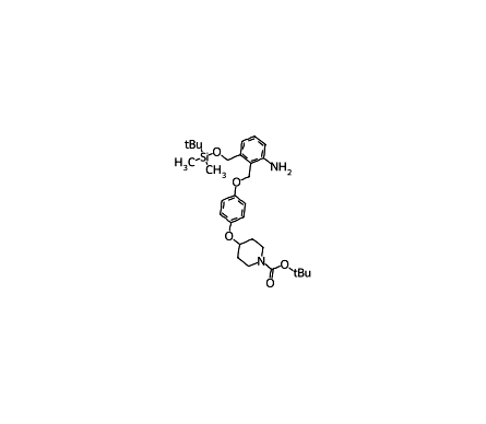 CC(C)(C)OC(=O)N1CCC(Oc2ccc(OCc3c(N)cccc3CO[Si](C)(C)C(C)(C)C)cc2)CC1